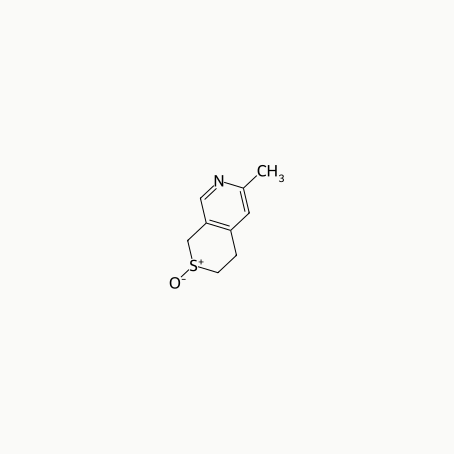 Cc1cc2c(cn1)C[S+]([O-])CC2